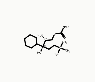 CNC(=O)OC[C@@H](N)[C@](O)(CC[Si](C)(C)C)C1CCCCC1